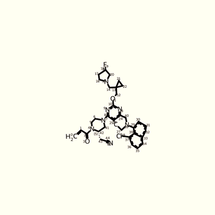 C=CC(=O)N1CCN(c2nc(OCC3(CN4CC[C@@H](F)C4)CC3)nc3c2CCN(c2cccc4cccc(Cl)c24)C3)C[C@@H]1CC#N